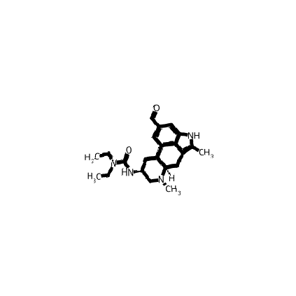 CCN(CC)C(=O)N[C@H]1CC2c3cc(C=O)cc4[nH]c(C)c(c34)C[C@H]2N(C)C1